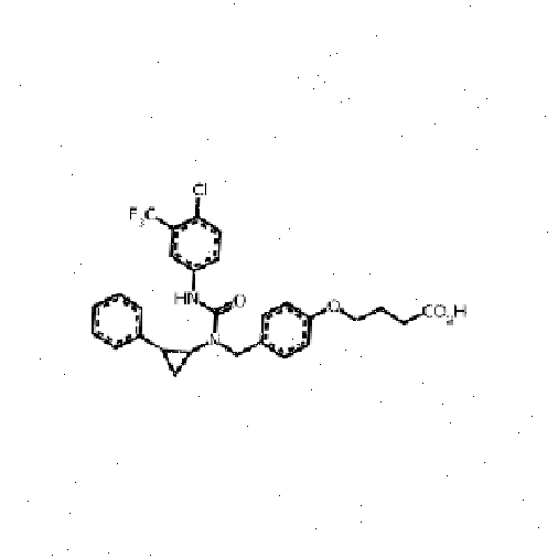 O=C(O)CCCOc1ccc(CN(C(=O)Nc2ccc(Cl)c(C(F)(F)F)c2)C2C[C@H]2c2ccccc2)cc1